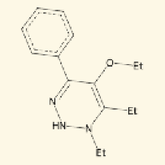 CCOC1=C(CC)N(CC)NN=C1c1ccccc1